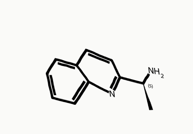 C[C@H](N)c1ccc2ccccc2n1